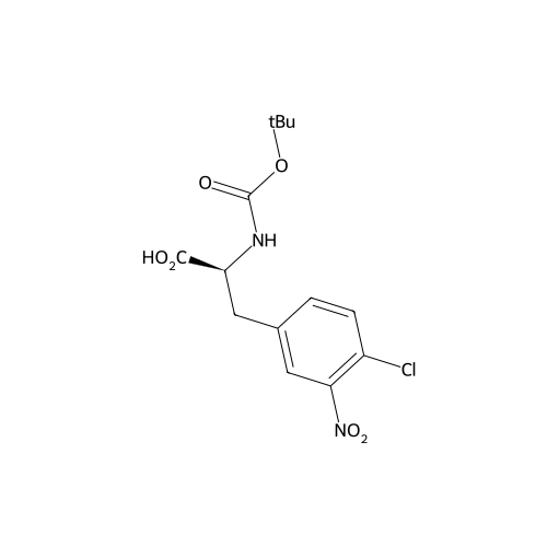 CC(C)(C)OC(=O)N[C@@H](Cc1ccc(Cl)c([N+](=O)[O-])c1)C(=O)O